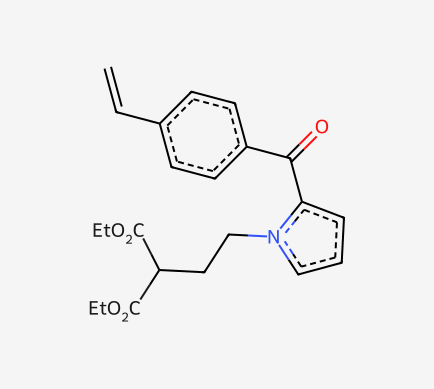 C=Cc1ccc(C(=O)c2cccn2CCC(C(=O)OCC)C(=O)OCC)cc1